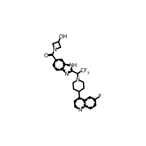 O=C(c1ccc2nc(C(N3CCC(c4ccnc5ccc(F)cc45)CC3)C(F)(F)F)[nH]c2c1)N1CC(O)C1